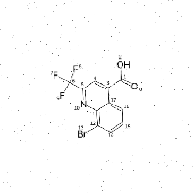 O=C(O)c1cc(C(F)(F)F)nc2c(Br)cccc12